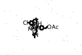 CC(=O)OCCC1CCN(C(=O)C(Cc2nc(C)cs2)NS(=O)(=O)c2cc(Cl)cc3c2NCC(C)(C)C3)CC1